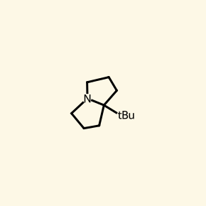 CC(C)(C)C12CCCN1CCC2